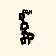 O=C(O)c1cnn(-c2cnc(NCC3(c4ncccc4F)CCC3)nc2)c1